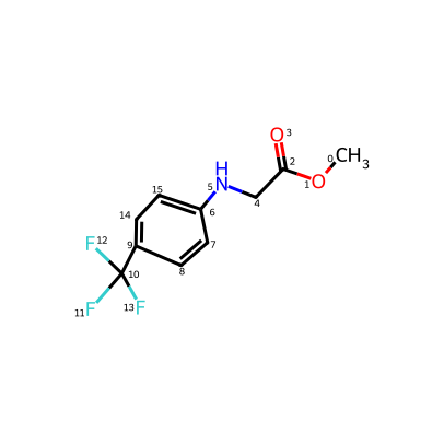 COC(=O)CNc1ccc(C(F)(F)F)cc1